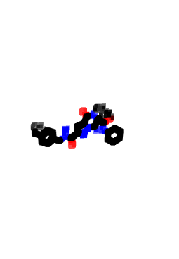 CCc1ccc(CNC(=O)c2cc3n(n2)CC(C)(C(=O)NC2CCCCC2)N(C)C3=O)cc1